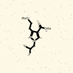 COCCc1nn(CC(F)F)cc1C(=O)OC